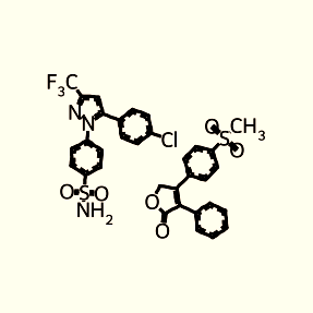 CS(=O)(=O)c1ccc(C2=C(c3ccccc3)C(=O)OC2)cc1.NS(=O)(=O)c1ccc(-n2nc(C(F)(F)F)cc2-c2ccc(Cl)cc2)cc1